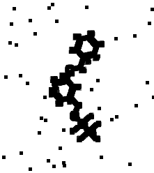 CC(C)(C)[Si](C)(C)OCc1cncc(OCc2ccccc2)c1